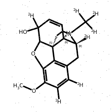 [2H]c1c([2H])c(OC)c2c3c1C[C@]1([2H])[C@@H]4C=CC([2H])(O)C(O2)[C@]34CCN1C([2H])([2H])[2H]